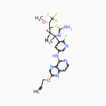 C#CCOc1cnc2c(Nc3cnc(F)c([C@@]4(C)N=C(N)S[C@@]5([C@H](OC)C(F)(F)F)C[C@H]54)c3)nccc2n1